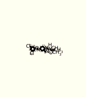 CC(C)(C)C(=O)Nc1ncc2c(n1)CCC(=NOc1cc(Cl)cc(Cl)c1)C2